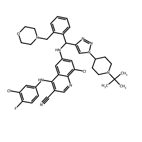 CC(C)(C)N1CCC(n2cc(C(Nc3cc(Cl)c4ncc(C#N)c(Nc5ccc(F)c(Cl)c5)c4c3)c3ccccc3CN3CCOCC3)nn2)CC1